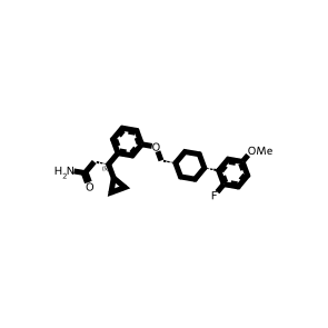 COc1ccc(F)c([C@H]2CC[C@@H](COc3cccc([C@@H](CC(N)=O)C4CC4)c3)CC2)c1